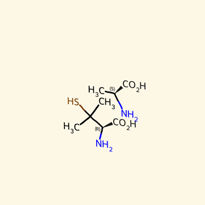 CC(C)(S)[C@H](N)C(=O)O.C[C@H](N)C(=O)O